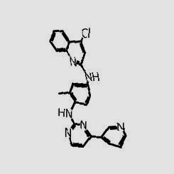 Cc1cc(Nc2cc(Cl)c3ccccc3n2)ccc1Nc1nccc(-c2cccnc2)n1